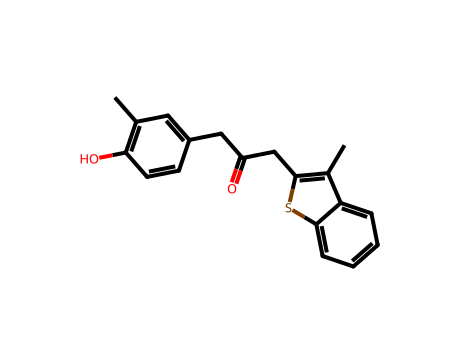 Cc1cc(CC(=O)Cc2sc3ccccc3c2C)ccc1O